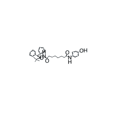 CC(C)(C)[Si](ONC(=O)CCCCCCC(=O)Nc1ccc(O)cc1)(c1ccccc1)c1ccccc1